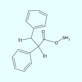 CCC(c1ccccc1)C(CC)(C(=O)O[SiH3])c1ccccc1